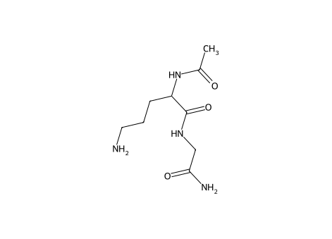 CC(=O)NC(CCCN)C(=O)NCC(N)=O